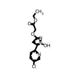 CCOC(=O)COc1cc(-c2ccc(Cl)cn2)n(O)n1